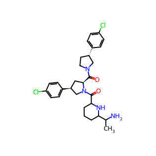 CC(N)C1CCCC(C(=O)N2C[C@@H](c3ccc(Cl)cc3)C[C@H]2C(=O)N2CC[C@H](c3ccc(Cl)cc3)C2)N1